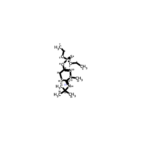 CCOP(=S)(OCC)OC1=NN(C)/C(=N/C(C)(C)C)SC1